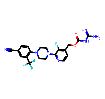 N#Cc1ccc(N2CCN(c3nccc(COC(=O)NC(=N)N)c3F)CC2)c(C(F)(F)F)c1